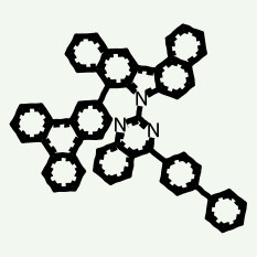 c1ccc(-c2ccc(-c3nc(-n4c5ccc6ccccc6c5c5cc6ccccc6c(-c6ccc7c8ccccc8c8ccccc8c7c6)c54)nc4ccccc34)cc2)cc1